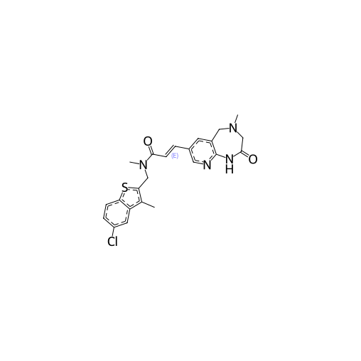 Cc1c(CN(C)C(=O)/C=C/c2cnc3c(c2)CN(C)CC(=O)N3)sc2ccc(Cl)cc12